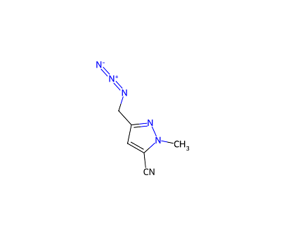 Cn1nc(CN=[N+]=[N-])cc1C#N